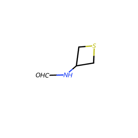 O=CNC1CSC1